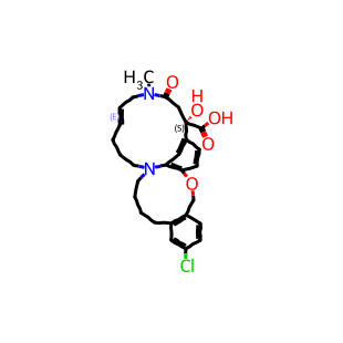 CN1C/C=C/CCCN2CCCCc3cc(Cl)ccc3COc3ccc(cc32)[C@](O)(C(=O)O)CC1=O